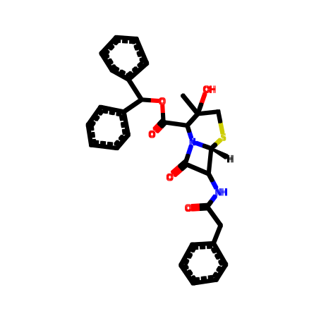 CC1(O)CS[C@@H]2C(NC(=O)Cc3ccccc3)C(=O)N2C1C(=O)OC(c1ccccc1)c1ccccc1